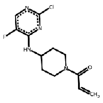 C=CC(=O)N1CCC(Nc2nc(Cl)ncc2F)CC1